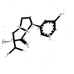 CC[C@]1(C(F)F)CN2CC[C@@H](c3cncc(F)c3)N2C1=O